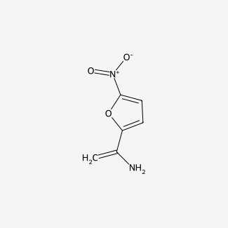 C=C(N)c1ccc([N+](=O)[O-])o1